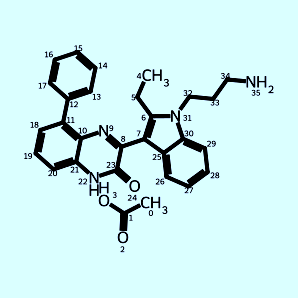 CC(=O)O.CCc1c(-c2nc3c(-c4ccccc4)cccc3[nH]c2=O)c2ccccc2n1CCCN